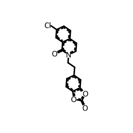 O=c1oc2ccc(CCn3ccc4ccc(Cl)cc4c3=O)cc2o1